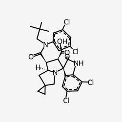 CC(C)(C)CN(C(=O)[C@H]1[C@@H](C(=O)O)[C@]2(C(=O)Nc3c(Cl)cc(Cl)cc32)N2CC3(CC3)C[C@@H]12)c1cc(Cl)cc(Cl)c1